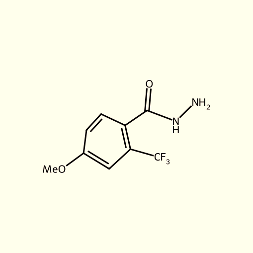 COc1ccc(C(=O)NN)c(C(F)(F)F)c1